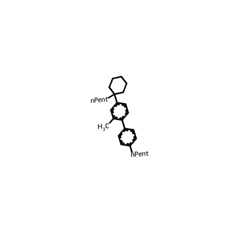 CCCCCc1ccc(-c2ccc(C3(CCCCC)CCCCC3)cc2C)cc1